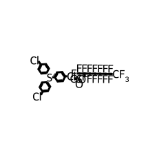 Clc1ccc([S+](c2ccc(Cl)cc2)c2ccc(Cl)cc2)cc1.O=S(=O)([O-])C(F)(F)C(F)(F)C(F)(F)C(F)(F)C(F)(F)C(F)(F)C(F)(F)C(F)(F)F